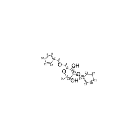 CC1OC(COCc2ccccc2)C(O)C(OCc2ccccc2)C1O